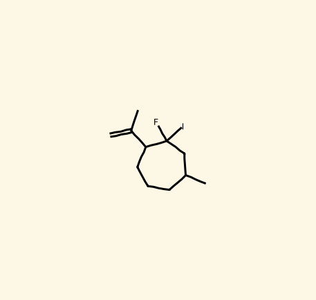 C=C(C)C1CCCC(C)CC1(F)I